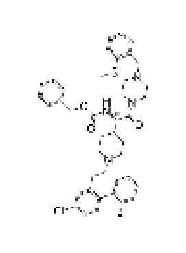 CSc1ccccc1CN1CCN(C(=O)[C@H](NC(=O)OCc2ccccc2)C2CCN(CCc3cc(Cl)ccc3-c3ccccc3F)CC2)CC1